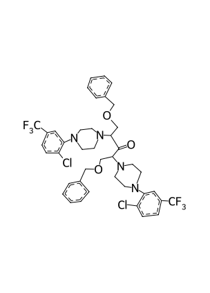 O=C(C(COCc1ccccc1)N1CCN(c2cc(C(F)(F)F)ccc2Cl)CC1)C(COCc1ccccc1)N1CCN(c2cc(C(F)(F)F)ccc2Cl)CC1